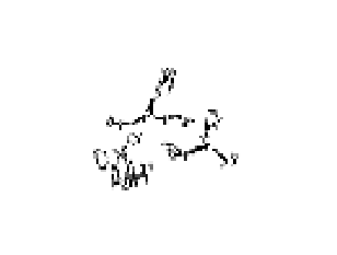 CC(C)P(C(C)C)C(C)C.CC(C)P(C(C)C)C(C)C.O=[N+]([O-])[O-].[PdH+]